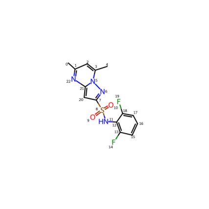 Cc1cc(C)n2nc(S(=O)(=O)Nc3c(F)cccc3F)cc2n1